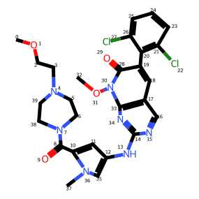 COCCN1CCN(C(=O)c2cc(Nc3ncc4cc(-c5c(Cl)cccc5Cl)c(=O)n(OC)c4n3)cn2C)CC1